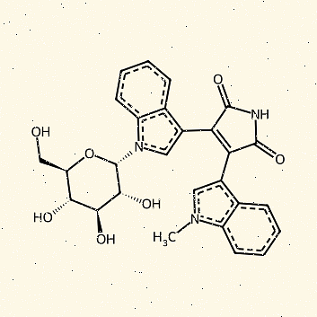 Cn1cc(C2=C(c3cn([C@H]4O[C@H](CO)[C@@H](O)[C@H](O)[C@H]4O)c4ccccc34)C(=O)NC2=O)c2ccccc21